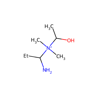 CCC(N)[N+](C)(C)C(C)O